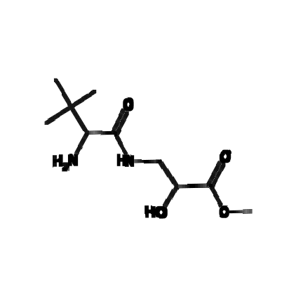 COC(=O)C(O)CNC(=O)C(N)C(C)(C)C